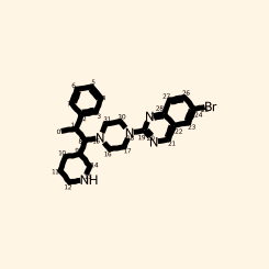 CC(c1ccccc1)C(C1CCCNC1)N1CCN(c2ncc3cc(Br)ccc3n2)CC1